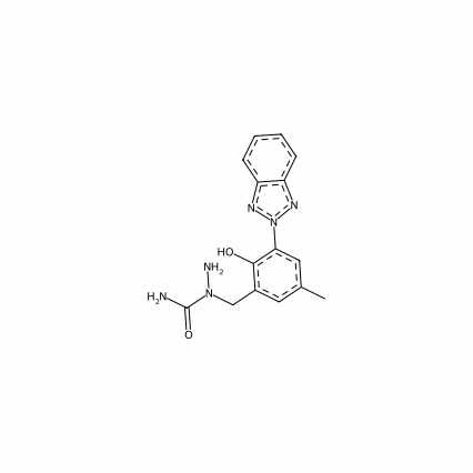 Cc1cc(CN(N)C(N)=O)c(O)c(-n2nc3ccccc3n2)c1